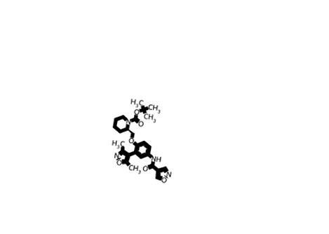 Cc1noc(C)c1-c1cc(NC(=O)c2cnoc2)ccc1OC[C@H]1CCCCN1C(=O)OC(C)(C)C